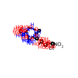 CCOc1cc(C2OCC3OC(OC4C(CO)OC(Oc5ccc(CC6NC(=O)C(C(C)c7ccccc7)NC(=O)CNC(=O)C(CO)NC(=O)C(C(O)C7CNC(=N)N7C7OC(CO)C(O)C(O)C7O)NC(=O)C(C(O)C7CNC(=N)N7)NC6=O)cc5)C(O)C4O)C(O)C(O)C3O2)ccc1[N+](=O)[O-]